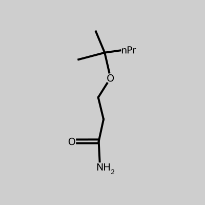 CCCC(C)(C)OCCC(N)=O